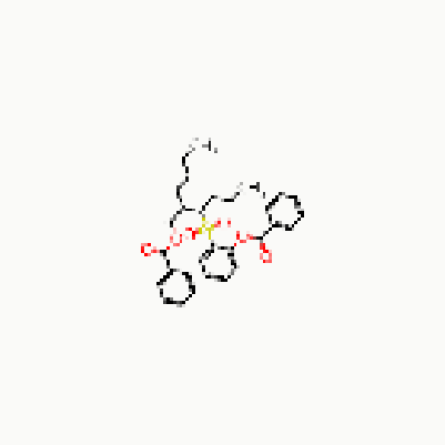 CCCCC([CH]OC(=O)c1ccccc1)C(CCC)S(=O)(=O)c1ccccc1OC(=O)c1ccccc1